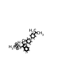 CC(C)C1CCC(N2CCC(n3c(CO)c(CNS(C)(=O)=O)c4ccccc43)CC2)CC1